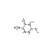 CSc1nnc(N)c(=O)n1C